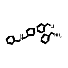 ClCc1ccccc1.NCc1ccccc1.c1ccc(CNCc2ccccc2)cc1